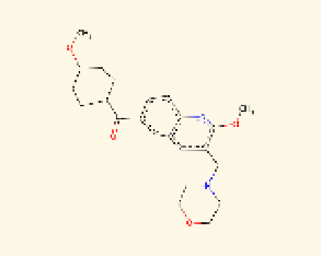 COc1nc2ccc(C(=O)C3CCC(OC)CC3)cc2cc1CN1CCOCC1